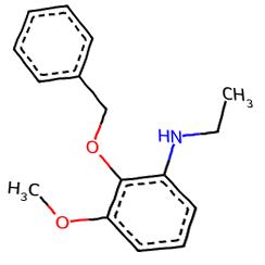 CCNc1cccc(OC)c1OCc1ccccc1